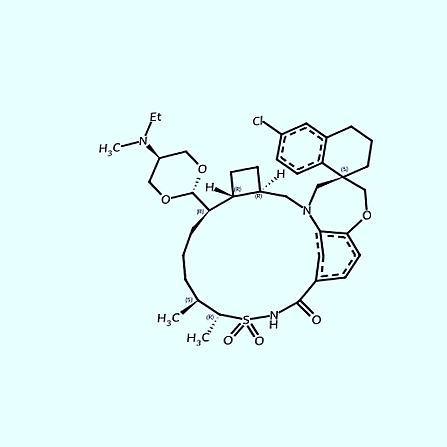 CCN(C)[C@H]1CO[C@H]([C@@H]2CCC[C@H](C)[C@@H](C)S(=O)(=O)NC(=O)c3ccc4c(c3)N(C[C@@H]3CC[C@H]32)C[C@@]2(CCCc3cc(Cl)ccc32)CO4)OC1